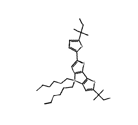 CCCCCC[Si]1(CCCCCC)c2cc(-c3ccc(C(C)(C)CC)s3)sc2-c2sc(C(C)(C)CC)cc21